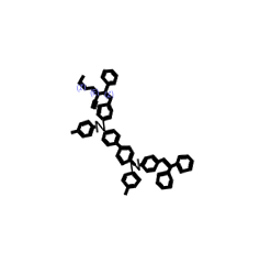 C#CC(=C\C=C/C)/C(=C\c1ccc(N(c2ccc(C)cc2)c2ccc(-c3ccc(N(c4ccc(C)cc4)c4ccc(C=C(c5ccccc5)c5ccccc5)cc4)cc3)cc2)cc1)c1ccccc1